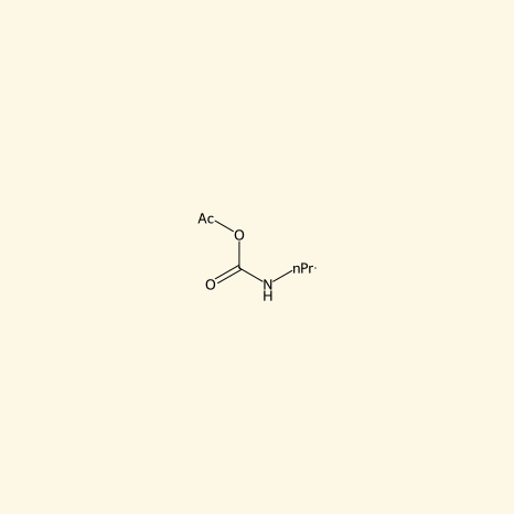 CC[CH]NC(=O)OC(C)=O